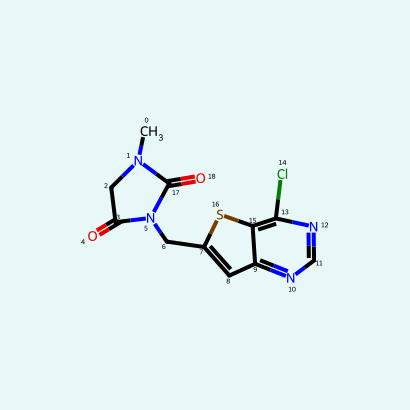 CN1CC(=O)N(Cc2cc3ncnc(Cl)c3s2)C1=O